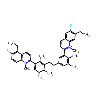 CCc1cc2c(ccc(-c3cc(CCC4=C(C)C(c5ccc6c(CC)c(F)ccc6[n+]5C)=CC(C)C4C)cc(C)c3C)[n+]2C)cc1F